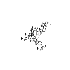 CCn1nc(C)cc1C(=O)Nc1nc2cc(C(N)=O)ccc2n1CCCCn1c(NC(=O)c2cc(C)nn2CC)nc2c(NS(C)(=O)=O)cccc21